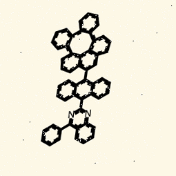 c1ccc(-c2nc(-c3c4ccccc4c(-c4cc5cccc6c7ccccc7c7ccccc7c7cccc4c7c56)c4ccccc34)nc3ccccc23)cc1